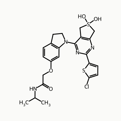 CC(C)NC(=O)COc1ccc2c(c1)N(c1nc(-c3ccc(Cl)s3)nc3c1CS(O)(O)C3)CC2